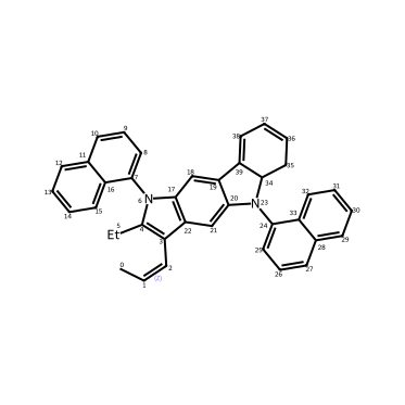 C/C=C\c1c(CC)n(-c2cccc3ccccc23)c2cc3c(cc12)N(c1cccc2ccccc12)C1CC=CC=C31